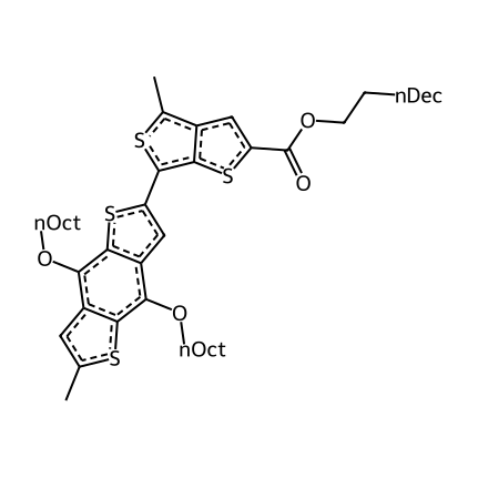 CCCCCCCCCCCCOC(=O)c1cc2c(C)sc(-c3cc4c(OCCCCCCCC)c5sc(C)cc5c(OCCCCCCCC)c4s3)c2s1